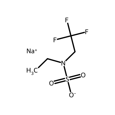 CCN(CC(F)(F)F)S(=O)(=O)[O-].[Na+]